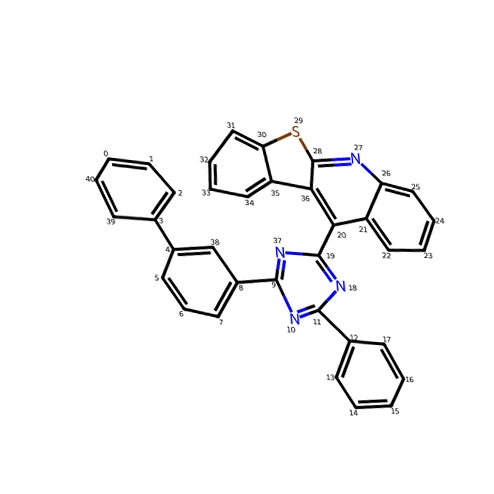 c1ccc(-c2cccc(-c3nc(-c4ccccc4)nc(-c4c5ccccc5nc5sc6ccccc6c45)n3)c2)cc1